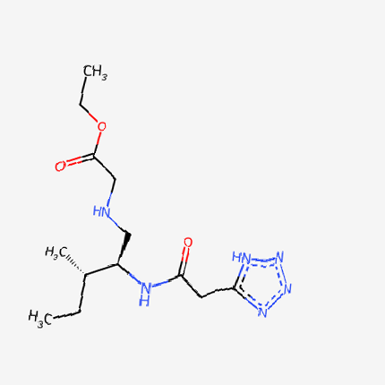 CCOC(=O)CNC[C@@H](NC(=O)Cc1nnn[nH]1)[C@@H](C)CC